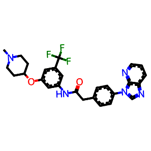 CN1CCC(Oc2cc(NC(=O)Cc3ccc(-n4cnc5cccnc54)cc3)cc(C(F)(F)F)c2)CC1